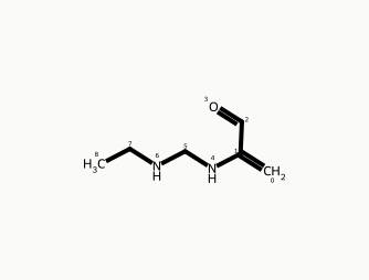 C=C(C=O)NCNCC